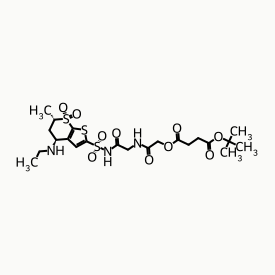 CCN[C@H]1C[C@H](C)S(=O)(=O)c2sc(S(=O)(=O)NC(=O)CNC(=O)COC(=O)CCC(=O)OC(C)(C)C)cc21